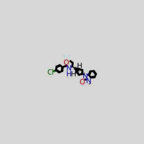 CCC(NC(=O)c1ccc(Cl)cc1)[C@H]1[C@@H]2C[C@@H](n3c(=O)n(C)c4ccccc43)C[C@@H]21